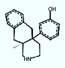 C[C@@]12CNCCC1(c1cccc(O)c1)Cc1ccccc1C2